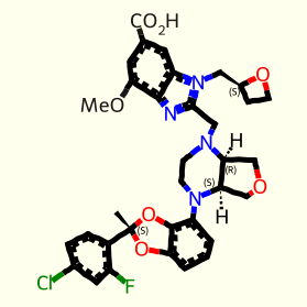 COc1cc(C(=O)O)cc2c1nc(CN1CCN(c3cccc4c3O[C@@](C)(c3ccc(Cl)cc3F)O4)[C@@H]3COC[C@@H]31)n2C[C@@H]1CCO1